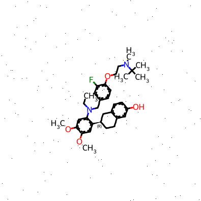 CCN(Cc1ccc(OCCN(C)C(C)(C)C)c(F)c1)c1cc(OC)c(OC)cc1[C@@H]1CCc2cc(O)ccc2C1